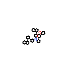 c1cc(-c2ccccc2-c2cccc3ccccc23)cc(N(c2ccc(-c3cccc4ccccc34)cc2)c2ccccc2-c2ccc3oc4ccccc4c3c2)c1